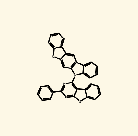 c1ccc(-c2nc(-n3c4ccccc4c4cc5c(cc43)oc3ccccc35)c3c(n2)sc2ccccc23)cc1